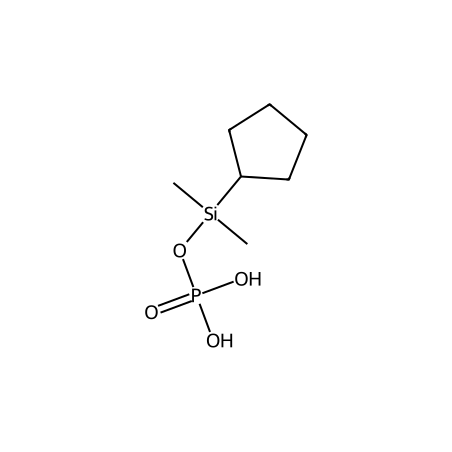 C[Si](C)(OP(=O)(O)O)C1CCCC1